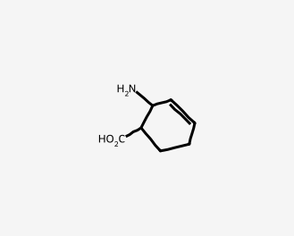 NC1C=CCCC1C(=O)O